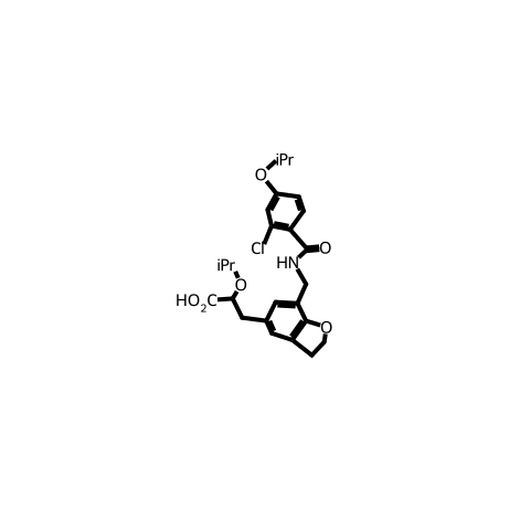 CC(C)Oc1ccc(C(=O)NCc2cc(CC(OC(C)C)C(=O)O)cc3c2OCC3)c(Cl)c1